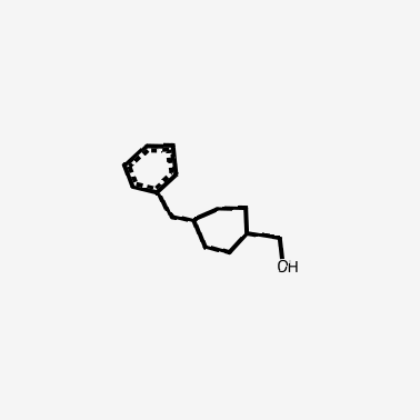 OCC1CCC(Cc2ccccc2)CC1